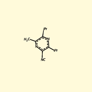 [C-]#[N+]c1nc(C)c(C(C)C)nc1C(C)C